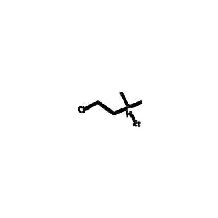 CC[PH](C)(C)CCCl